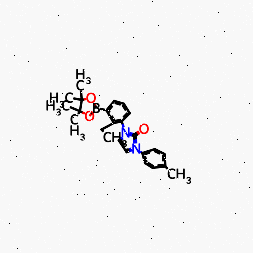 CCc1c(B2OC(C)(C)C(C)(C)O2)cccc1-n1ccn(-c2ccc(C)cc2)c1=O